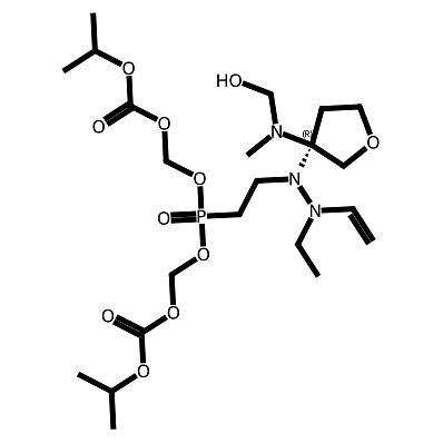 C=CN(CC)N(CCP(=O)(OCOC(=O)OC(C)C)OCOC(=O)OC(C)C)[C@]1(N(C)CO)CCOC1